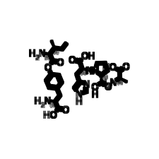 CC[C@H](C)[C@H](N)C(=O)Oc1ccc(C[C@H](N)C(=O)O)cc1.C[C@@H](N)C(=O)O.N[C@@H](Cc1c[nH]cn1)C(=O)O.O=C(O)[C@@H]1CCCN1